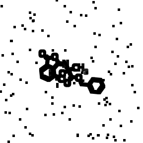 CC(C)(/N=C1/OC(=O)c2cccc(Cl)c21)C(=O)OCc1ccccc1